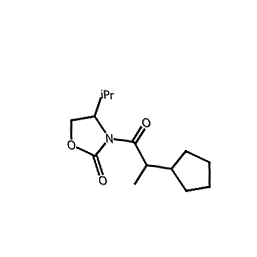 CC(C)C1COC(=O)N1C(=O)C(C)C1CCCC1